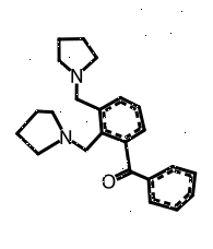 O=C(c1ccccc1)c1cccc(CN2CCCC2)c1CN1CCCC1